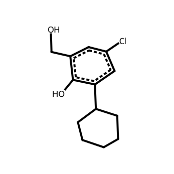 OCc1cc(Cl)cc(C2CCCCC2)c1O